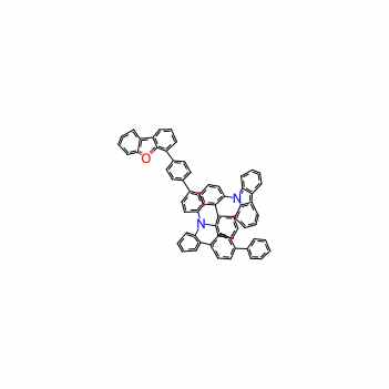 c1ccc(-c2ccc(-c3ccccc3N(c3ccc(-c4ccc(-c5cccc6c5oc5ccccc56)cc4)cc3)c3ccccc3-c3ccccc3-n3c4ccccc4c4ccccc43)cc2)cc1